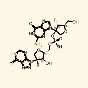 Nc1nc2c(ncn2[C@@]2(OP(=O)(S)OC[C@H]3OC[C@@](F)(n4nnc5c(=O)[nH]cnc54)[C@@H]3O)CO[C@H](CO)[C@H]2F)c(=O)[nH]1